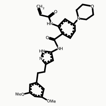 C=CC(=O)Nc1cc(N2CCOCC2)ccc1C(=O)Nc1cc(CCc2cc(OC)cc(OC)c2)n[nH]1